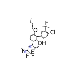 C=C(C)/C(=C\C(=N/C)C(F)(F)F)c1ccc(OCCCC)c(-c2ccc(Cl)c(C(C)(C)F)c2)c1O